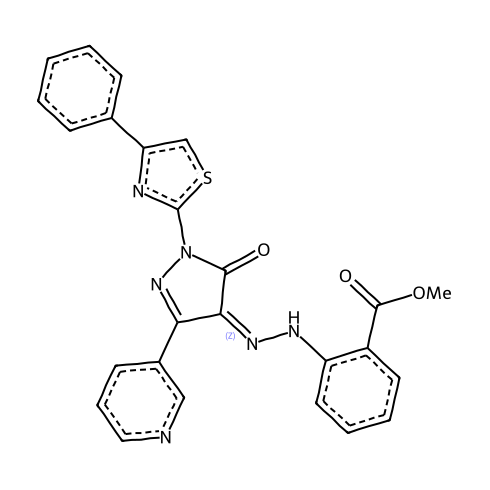 COC(=O)c1ccccc1N/N=C1\C(=O)N(c2nc(-c3ccccc3)cs2)N=C1c1cccnc1